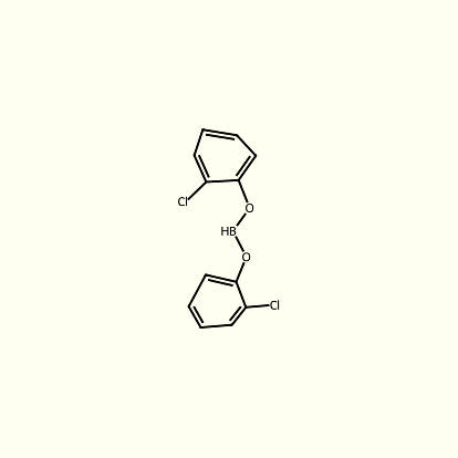 Clc1ccccc1OBOc1ccccc1Cl